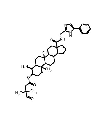 CC(C)(C=O)CC(=O)OC1CCC2(C)C(CCC3(C)C4CCC5(C(=O)NCc6ncc(-c7ccccc7)[nH]6)CCCC5C4CCC23)C1N